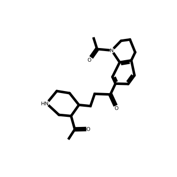 CC(=O)C1CNCCC1CCC(=O)c1ccc2c(c1)N(C(C)=O)CCC2